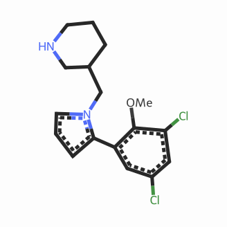 COc1c(Cl)cc(Cl)cc1-c1cccn1CC1CCCNC1